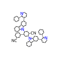 N#Cc1cccc(-c2cc(-n3c4ccccc4c4cc(-c5cccnc5-c5ccccc5)ccc43)c(C#N)cc2-n2c3ccccc3c3cc(-c4cccnc4-c4ccccc4)ccc32)c1